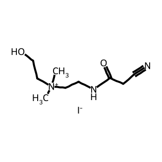 C[N+](C)(CCO)CCNC(=O)CC#N.[I-]